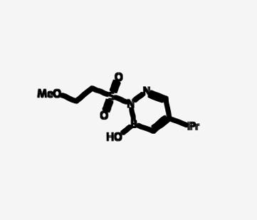 COCCS(=O)(=O)N1N=CC(C(C)C)=CB1O